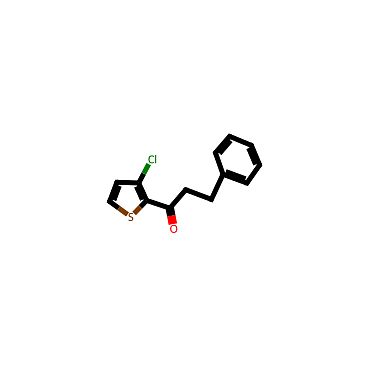 O=C(CCc1ccccc1)c1sccc1Cl